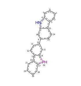 c1ccc2c(c1)[nH]c1cc(-c3ccc4c(c3)[pH]c3ccccc34)ccc12